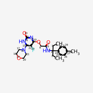 CCC(CC)(NC(=O)COc1nc(=O)[nH]c(N2CCOCC2)c1F)c1ccc(C)cc1